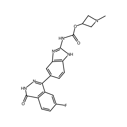 CN1CC(OC(=O)Nc2nc3cc(-c4n[nH]c(=O)c5ccc(F)cc45)ccc3[nH]2)C1